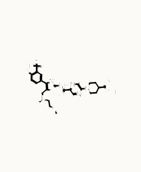 COCCN(C)Cc1sc(NC(=O)c2cnc(N3CCC(C(=O)O)CC3)cn2)nc1-c1ccc(F)c(C(F)(F)F)c1